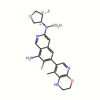 Cc1c(-c2cc3cc(N(C(=O)O)[C@H]4COC[C@@H]4F)ncc3c(N)c2F)cnc2c1NCCO2